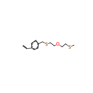 C=Cc1ccc(CSCCOCCSC)cc1